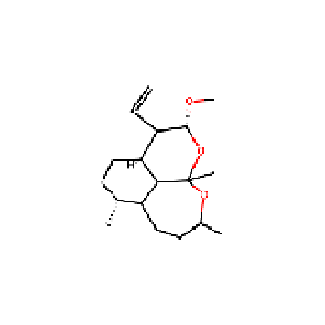 C=CC1[C@H](OC)OC2(C)OC(C)CCC3C2[C@H]1CC[C@H]3C